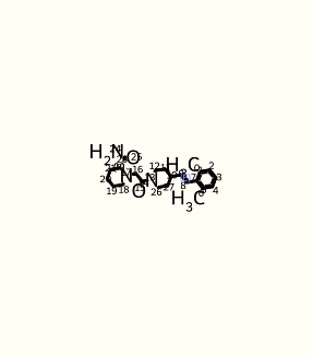 Cc1cccc(C)c1/C=C/C1CCN(C(=O)CN2CCCC[C@@H]2C(N)=O)CC1